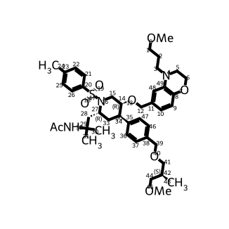 COCCCN1CCOc2ccc(CO[C@H]3CN(S(=O)(=O)c4ccc(C)cc4)[C@@H](CC(C)(C)NC(C)=O)C[C@@H]3c3ccc(COC[C@@H](C)COC)cc3)cc21